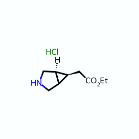 CCOC(=O)C[C@H]1C2CNC[C@H]21.Cl